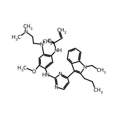 C=CC(=O)Nc1cc(Nc2nccc(-c3c(CCC)n(CC)c4ccccc34)n2)c(OC)cc1N(C)CCN(C)C